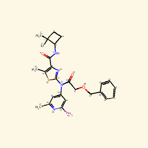 CCC1(C)CCC1NC(=O)c1nc(N(C(=O)COCc2ccccc2)c2cc(C)nc(P)c2)sc1C